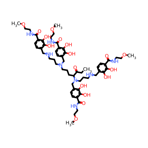 CCC(=O)C(CCCN(CCCNCc1ccc(C(=O)NCCOC)c(O)c1O)Cc1ccc(C(=O)NCCOC)c(O)c1O)N(CCCNCc1ccc(C(=O)NCCOC)c(O)c1O)Cc1ccc(C(=O)NCCOC)c(O)c1O